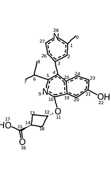 Cc1cc(-c2c(C(C)C)nc(O[C@H]3C[C@H](C(=O)O)C3)c3cc(O)ccc23)ccn1